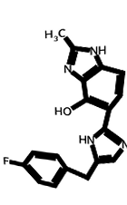 Cc1nc2c(O)c(-c3ncc(Cc4ccc(F)cc4)[nH]3)ccc2[nH]1